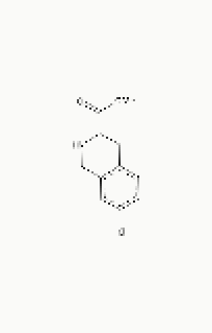 COC(=O)C1Cc2ccc(Cl)cc2CN1